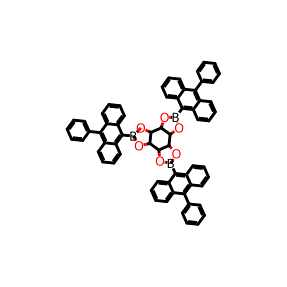 c1ccc(-c2c3ccccc3c(B3OC4C5OB(c6c7ccccc7c(-c7ccccc7)c7ccccc67)OC5C5OB(c6c7ccccc7c(-c7ccccc7)c7ccccc67)OC5C4O3)c3ccccc23)cc1